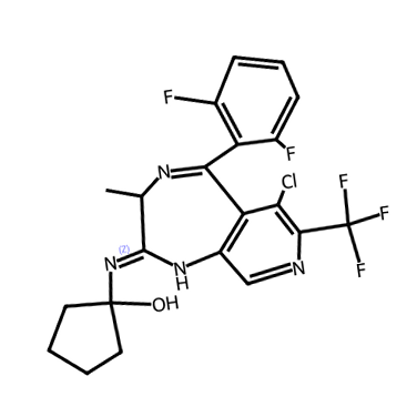 CC1N=C(c2c(F)cccc2F)c2c(cnc(C(F)(F)F)c2Cl)N/C1=N\C1(O)CCCC1